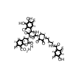 O=C(NCCCN1CCN(C(=O)N[C@@H](C(=O)N[C@H]2Cc3ccc(F)c(C(=O)O)c3OB2O)c2cc(F)c(O)c(O)c2Cl)C(=O)C1=O)c1cc(F)c(O)cc1F